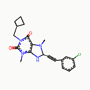 CN1c2c(n(C)c(=O)n(CC3CCC3)c2=O)NC1C#Cc1cccc(Cl)c1